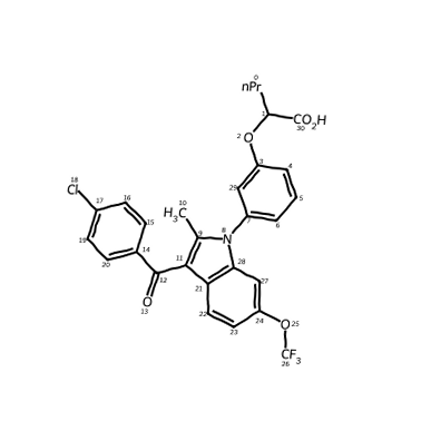 CCCC(Oc1cccc(-n2c(C)c(C(=O)c3ccc(Cl)cc3)c3ccc(OC(F)(F)F)cc32)c1)C(=O)O